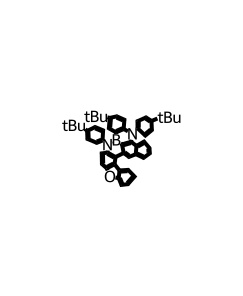 CC(C)(C)c1ccc(N2B3c4cc(C(C)(C)C)ccc4N(c4ccc(C(C)(C)C)cc4)c4c3c(cc3ccccc43)-c3c2ccc2oc4ccccc4c32)cc1